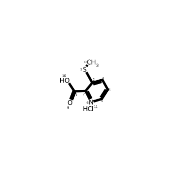 CSc1cccnc1C(=O)O.Cl